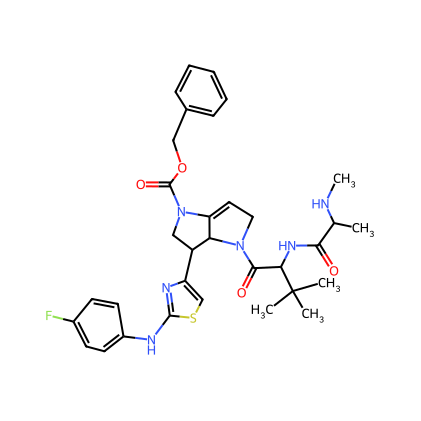 CNC(C)C(=O)NC(C(=O)N1CC=C2C1C(c1csc(Nc3ccc(F)cc3)n1)CN2C(=O)OCc1ccccc1)C(C)(C)C